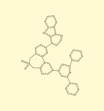 O=S1(=O)Cc2ccc(-c3cc(-c4ccccc4)nc(-c4ccccc4)c3)cc2-c2cc(-c3cccc4c3oc3ccccc34)ccc2C1